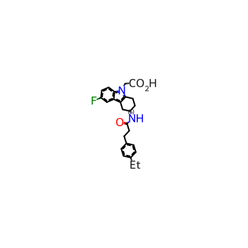 CCc1ccc(CCC(=O)N[C@H]2CCc3c(c4cc(F)ccc4n3CC(=O)O)C2)cc1